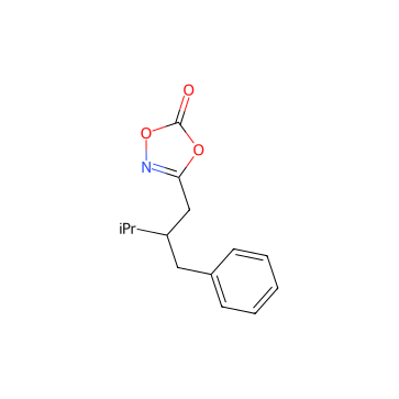 CC(C)C(Cc1ccccc1)Cc1noc(=O)o1